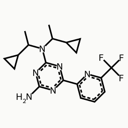 CC(C1CC1)N(c1nc(N)nc(-c2cccc(C(F)(F)F)n2)n1)C(C)C1CC1